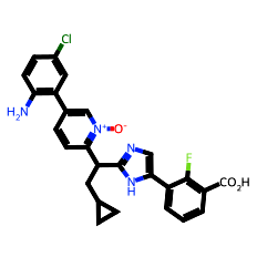 Nc1ccc(Cl)cc1-c1ccc(C(CC2CC2)c2ncc(-c3cccc(C(=O)O)c3F)[nH]2)[n+]([O-])c1